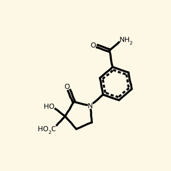 NC(=O)c1cccc(N2CCC(O)(C(=O)O)C2=O)c1